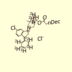 [2H]c1c([2H])c([2H])c([C@@H]2C[C@@H](N3CC[N@+](COC(=O)CCCCCCCCCCC)(C([2H])([2H])[2H])C(C)(C)C3)c3cc(Cl)ccc32)c([2H])c1[2H].[Cl-]